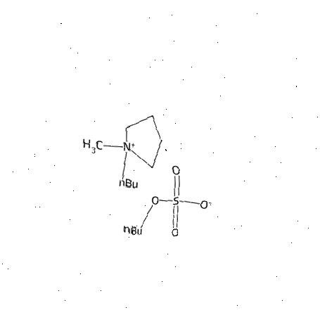 CCCCOS(=O)(=O)[O-].CCCC[N+]1(C)CCCC1